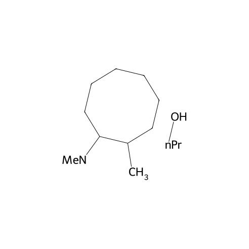 CCCO.CNC1CCCCCCC1C